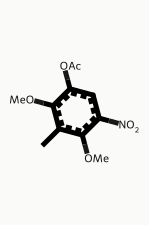 COc1c(OC(C)=O)cc([N+](=O)[O-])c(OC)c1C